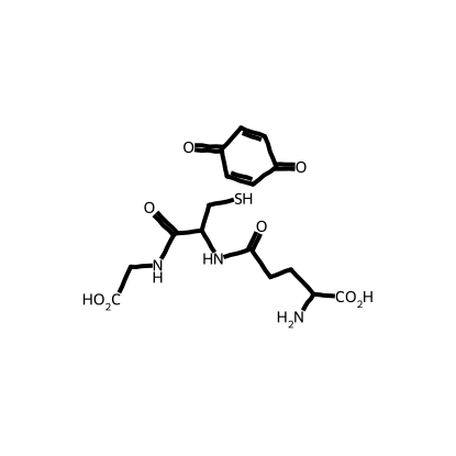 NC(CCC(=O)NC(CS)C(=O)NCC(=O)O)C(=O)O.O=C1C=CC(=O)C=C1